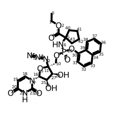 CCOC(=O)C1(NP(=O)(OC[C@@]2(N=[N+]=[N-])O[C@@H](n3ccc(=O)[nH]c3=O)[C@H](O)[C@@H]2O)Oc2cccc3ccccc23)CCCC1